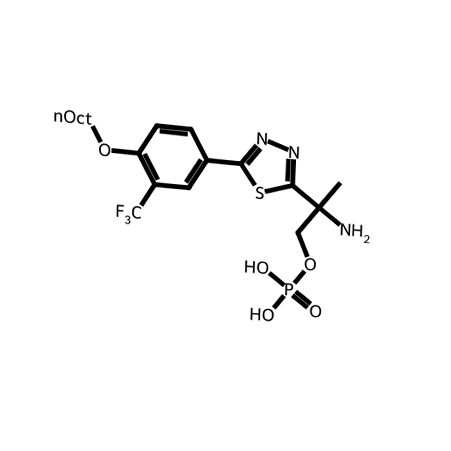 CCCCCCCCOc1ccc(-c2nnc(C(C)(N)COP(=O)(O)O)s2)cc1C(F)(F)F